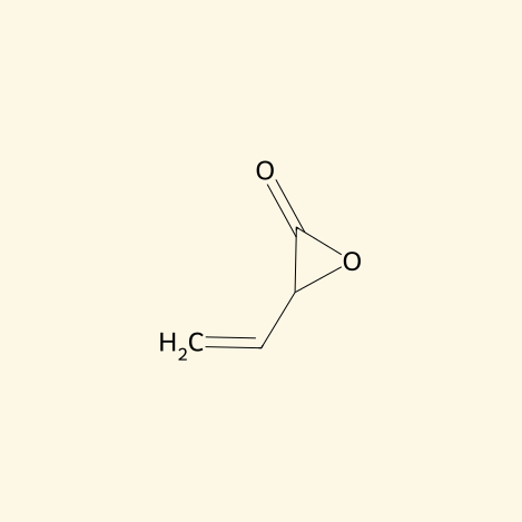 C=CC1OC1=O